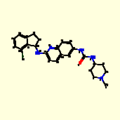 CC(C)N1CCC(NC(=O)Nc2ccc3nc(NC4CCc5cccc(F)c54)ccc3c2)CC1